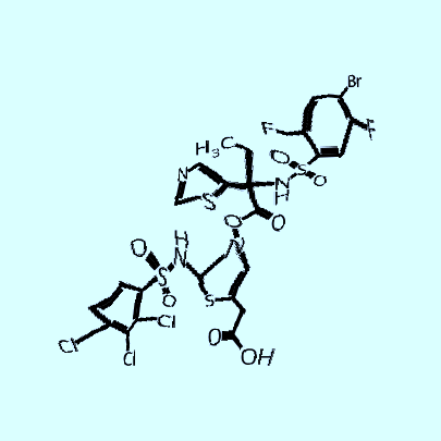 CCC(NS(=O)(=O)c1cc(F)c(Br)cc1F)(C(=O)ON1C=C(CC(=O)O)SC1NS(=O)(=O)c1ccc(Cl)c(Cl)c1Cl)c1cncs1